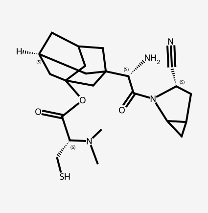 CN(C)[C@H](CS)C(=O)OC12CC3C[C@H](C1)CC([C@H](N)C(=O)N1C4CC4C[C@H]1C#N)(C3)C2